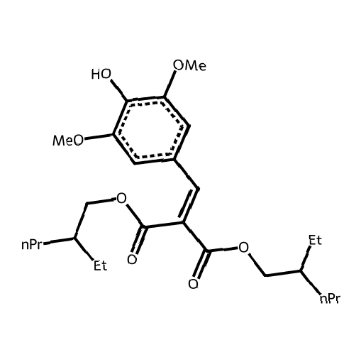 CCCC(CC)COC(=O)C(=Cc1cc(OC)c(O)c(OC)c1)C(=O)OCC(CC)CCC